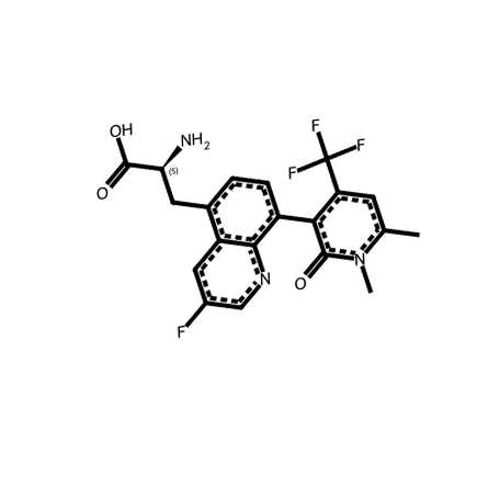 Cc1cc(C(F)(F)F)c(-c2ccc(C[C@H](N)C(=O)O)c3cc(F)cnc23)c(=O)n1C